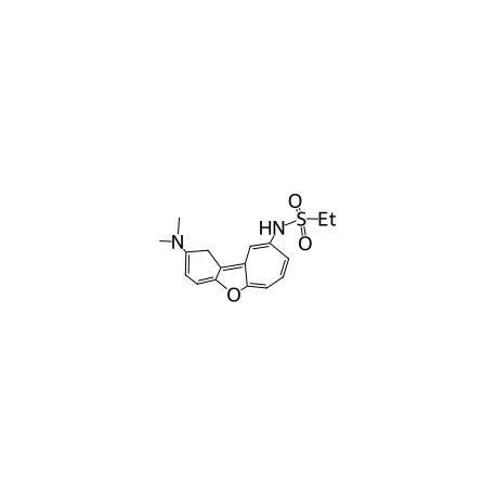 CCS(=O)(=O)NC1=Cc2c3c(oc2=CC=C1)=CC=C(N(C)C)C3